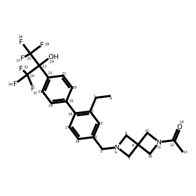 CCc1cc(CN2CC3(C2)CN(C(C)=O)C3)ccc1-c1ccc(C(O)(C(F)(F)F)C(F)(F)F)cc1